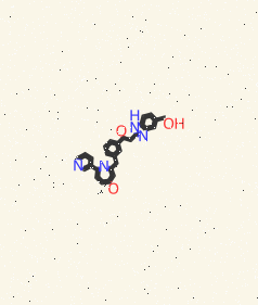 O=C(Cc1nc2cc(CO)ccc2[nH]1)c1cccc(Cc2cc(=O)ccc(-c3cccnc3)n2)c1